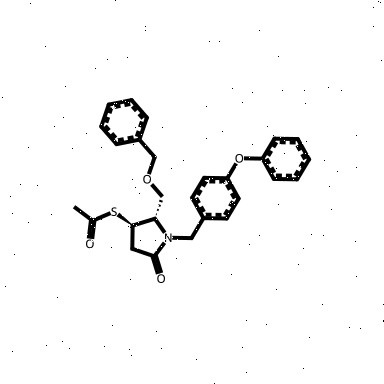 CC(=O)S[C@@H]1CC(=O)N(Cc2ccc(Oc3ccccc3)cc2)[C@H]1COCc1ccccc1